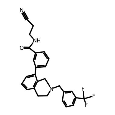 N#CCCNC(=O)c1cccc(-c2cccc3c2CN(Cc2cccc(C(F)(F)F)c2)CC3)c1